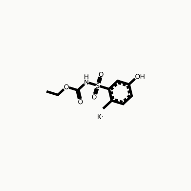 CCOC(=O)NS(=O)(=O)c1cc(O)ccc1C.[K]